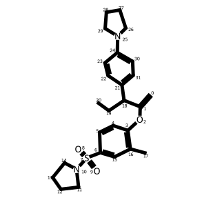 C=C(Oc1ccc(S(=O)(=O)N2CCCC2)cc1C)C(CC)c1ccc(N2CCCC2)cc1